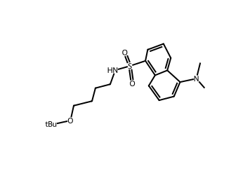 CN(C)c1cccc2c(S(=O)(=O)NCCCCOC(C)(C)C)cccc12